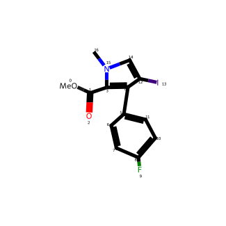 COC(=O)c1c(-c2ccc(F)cc2)c(I)cn1C